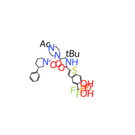 CC(=O)N1CCN(C(=O)C(NC(=O)c2cc3cc(C(F)(F)P(=O)(O)O)ccc3s2)C(C)(C)C)[C@H](C(=O)N2CCC[C@H](c3ccccc3)C2)C1